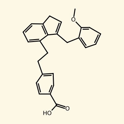 COc1ccccc1CC1=CCc2cccc(CCc3ccc(C(=O)O)cc3)c21